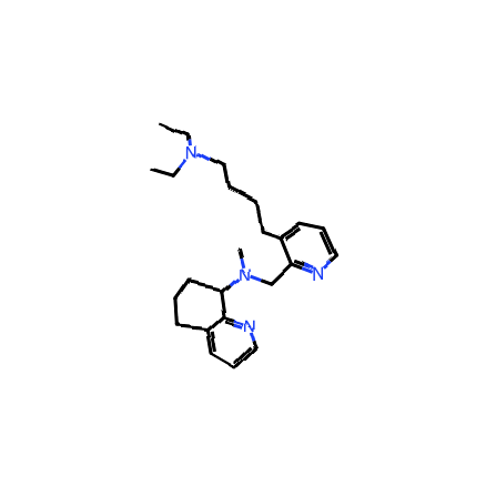 CCN(CC)CCCCc1cccnc1CN(C)C1CCCc2cccnc21